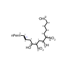 CCCCC/C=C/CC(O)C(CC(O)C(CCCC[C]=O)[N+](=O)[O-])[N+](=O)[O-]